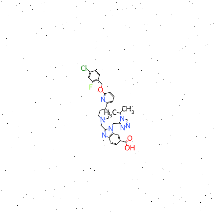 CC(C)n1cnnc1Cn1c(CN2CCC(c3cccc(OCc4ccc(Cl)cc4F)n3)CC2)nc2ccc(C(=O)O)cc21